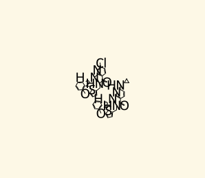 Nc1nc(Cl)ccc1C(=O)NCc1ccc(Oc2ccccc2)s1.Nc1nc(NC2CC2)ccc1C(=O)NCc1ccc(Oc2ccccc2)s1